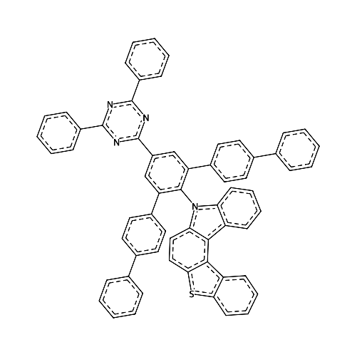 c1ccc(-c2ccc(-c3cc(-c4nc(-c5ccccc5)nc(-c5ccccc5)n4)cc(-c4ccc(-c5ccccc5)cc4)c3-n3c4ccccc4c4c5c(ccc43)sc3ccccc35)cc2)cc1